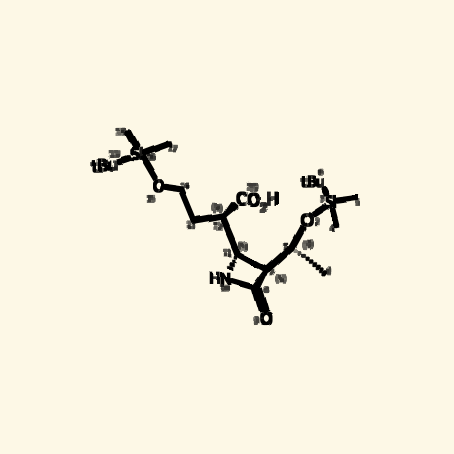 C[C@@H](O[Si](C)(C)C(C)(C)C)[C@H]1C(=O)N[C@@H]1[C@@H](CCO[Si](C)(C)C(C)(C)C)C(=O)O